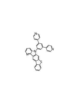 c1ccc2c(c1)sc1cc3c(cc12)c1ncccc1n3-c1cc(-c2ccncc2)cc(-c2ccncc2)c1